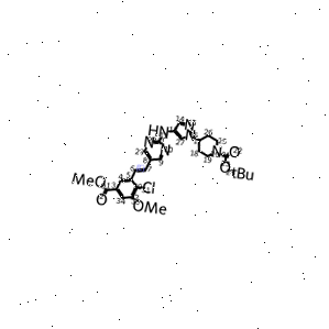 COC(=O)c1cc(/C=C/c2cnc(Nc3cnn(C4CCN(C(=O)OC(C)(C)C)CC4)c3)nc2)c(Cl)c(OC)c1